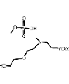 CCCCCCCCCCCCN(C)CCOCCO.COS(=O)(=O)O